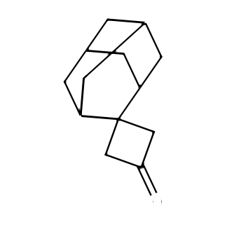 O=C1CC2(C1)C1CC3CC(C1)CC2C3